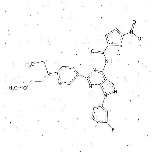 CCN(CCOC)c1ccc(-c2nc(NC(=O)c3ccc([N+](=O)[O-])s3)c3cnn(-c4cccc(F)c4)c3n2)cn1